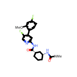 CNC(=O)N[C@@H]1CCC[C@H](C(=O)Nc2cc(-c3ccc(F)cc3OC)c(F)cn2)C1